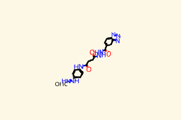 O=CNNc1ccc(NC(=O)CCC(=O)NNC(=O)C2=CC=C3N=NN=C3C2)cc1